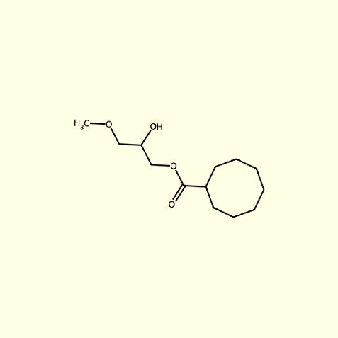 COCC(O)COC(=O)C1CCCCCCC1